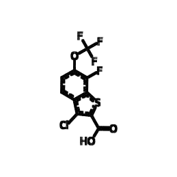 O=C(O)c1sc2c(F)c(OC(F)(F)F)ccc2c1Cl